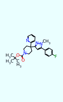 Cn1nc(C2(c3ccccn3)CCN(C(=O)OC(C)(C)C)CC2)cc1-c1ccc(F)cc1